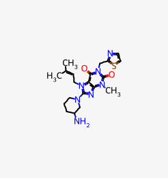 CC(C)=CCn1c(N2CCCC(N)C2)nc2c1c(=O)n(Cc1nccs1)c(=O)n2C